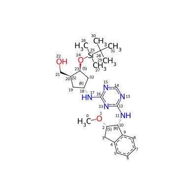 CO[C@H]1Cc2ccccc2[C@H]1Nc1ncnc(N[C@@H]2C[C@@H](CO)[C@@H](O[Si](C)(C)C(C)(C)C)C2)n1